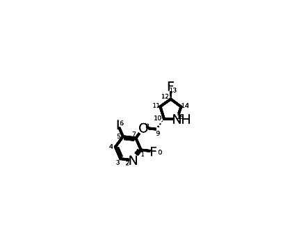 Fc1nccc(I)c1OC[C@@H]1C[C@@H](F)CN1